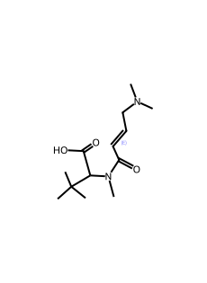 CN(C)C/C=C/C(=O)N(C)C(C(=O)O)C(C)(C)C